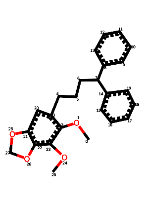 COc1c(CCCC(c2ccccc2)c2ccccc2)cc2c(c1OC)OCO2